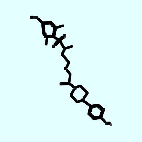 COc1cc(C)c(S(=O)(=O)N(C)CCOCC(=O)N2CCN(c3ccc([N+](=O)[O-])nc3)CC2)c(C)c1